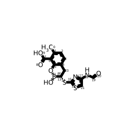 Cc1ccc2c(c1C(=O)O)OB(O)[C@@H](Sc1nc(NC=O)cs1)C2